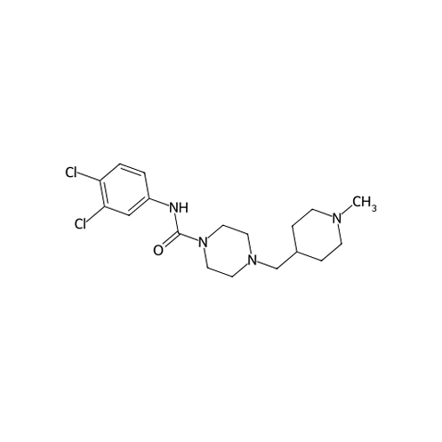 CN1CCC(CN2CCN(C(=O)Nc3ccc(Cl)c(Cl)c3)CC2)CC1